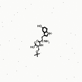 CC(C)(C)OC[C@H](NC(=O)[C@@H](N)Cc1c[nH]c2ccc(O)cc12)C(=O)O